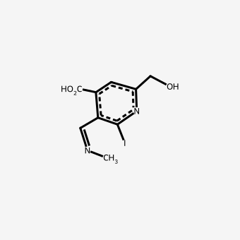 C/N=C\c1c(C(=O)O)cc(CO)nc1I